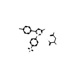 CCC(CC(N)=O)C(N)=O.Cc1ccc(-c2cc(C(F)(F)F)nn2-c2ccc(S(N)(=O)=O)cc2)cc1